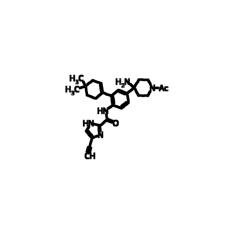 C#Cc1c[nH]c(C(=O)Nc2ccc(C3(N)CCN(C(C)=O)CC3)cc2C2=CCC(C)(C)CC2)n1